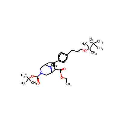 CCOC(=O)C1=C(c2ccc(CCCO[Si](C)(C)C(C)(C)C)cc2)CC2CN(C(=O)OC(C)(C)C)CC1N2C